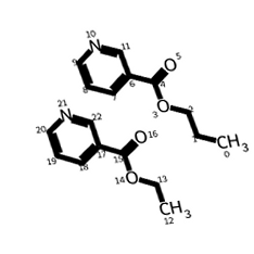 CCCOC(=O)c1cccnc1.CCOC(=O)c1cccnc1